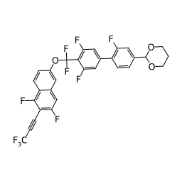 Fc1cc(C2OCCCO2)ccc1-c1cc(F)c(C(F)(F)Oc2ccc3c(F)c(C#CC(F)(F)F)c(F)cc3c2)c(F)c1